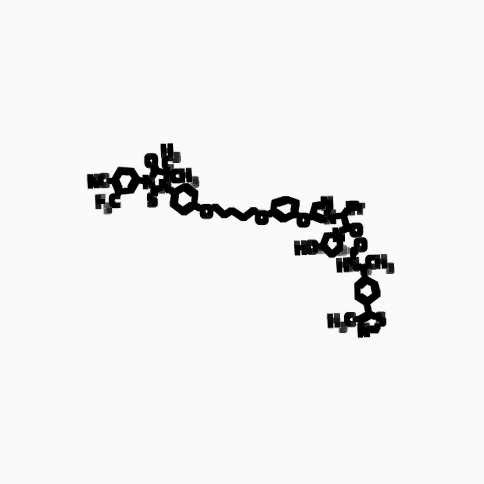 Cc1ncsc1-c1ccc([C@H](C)NC(=O)[C@@H]2C[C@@H](O)CN2C(=O)C(C(C)C)n2cc(Oc3cccc(OCCCCCOc4ccc(N5C(=S)N(c6ccc(C#N)c(C(F)(F)F)c6)C(=O)C5(C)C)cc4)c3)cn2)cc1